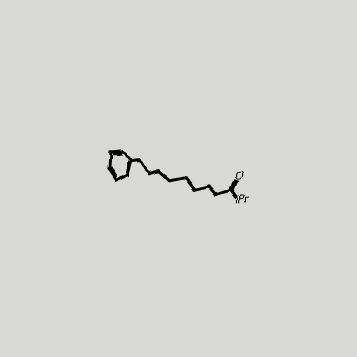 CC(C)C(=O)CCCCCCCCc1ccccc1